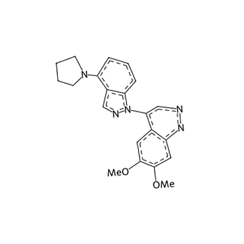 COc1cc2nncc(-n3ncc4c(N5CCCC5)cccc43)c2cc1OC